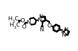 CC(C)OC(=O)N1CCC(n2ncc(COc3ccc(-n4nccn4)cc3)c2C#N)CC1